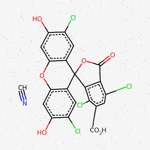 C#N.O=C(O)c1cc(Cl)c2c(c1Cl)C1(OC2=O)c2cc(Cl)c(O)cc2Oc2cc(O)c(Cl)cc21